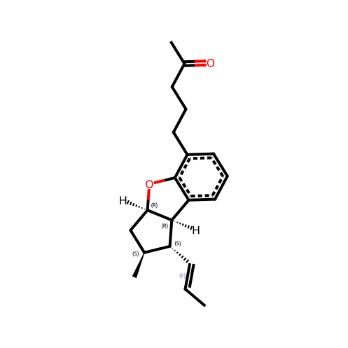 C/C=C/[C@H]1[C@@H]2c3cccc(CCCC(C)=O)c3O[C@@H]2C[C@@H]1C